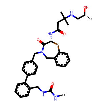 CCNC(=O)NCc1ccccc1-c1ccc(CN2Cc3ccccc3S[C@@H](NC(=O)CC(C)(C)NC[C@@H](C)O)C2=O)cc1